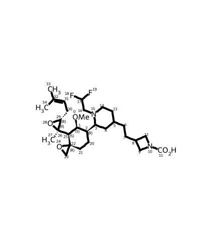 CO[C@H]1[C@@H](C2CC(CCC3CN(C(=O)O)C3)CCN2CC(F)F)CC[C@]2(CO2)[C@H]1[C@@]1(C)O[C@@H]1CC=C(C)C